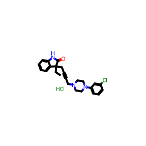 CCC1(CC#CCN2CCN(c3cccc(Cl)c3)CC2)C(=O)Nc2ccccc21.Cl